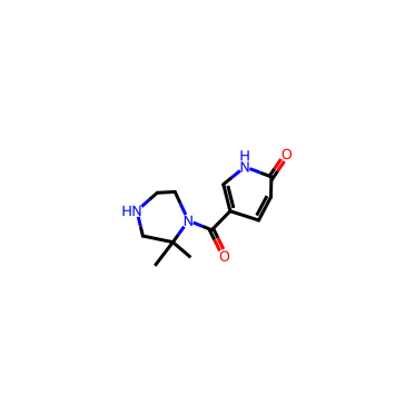 CC1(C)CNCCN1C(=O)c1ccc(=O)[nH]c1